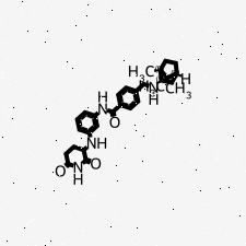 CC1(C)[C@@H]2CC[C@@]1(C)[C@@H](NCc1ccc(C(=O)Nc3cccc(NC4CCC(=O)NC4=O)c3)cc1)C2